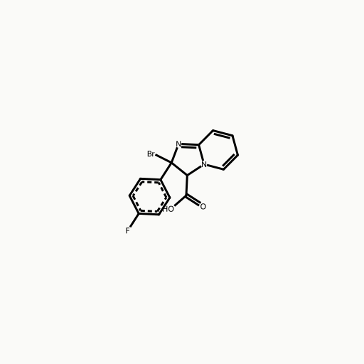 O=C(O)C1N2C=CC=CC2=NC1(Br)c1ccc(F)cc1